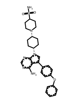 Nc1ncnc2c1c(-c1ccc(Oc3ccccc3)cc1)cn2[C@H]1CC[C@@H](N2CCC(S(N)(=O)=O)CC2)CC1